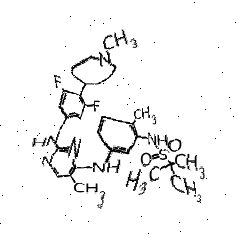 Cc1ccc(Nc2nc(Nc3cc(F)c(C4CCN(C)CC4)c(F)c3)ncc2C)cc1NS(=O)(=O)C(C)(C)C